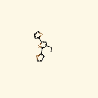 CCc1cc(-c2cccs2)sc1-c1cccs1